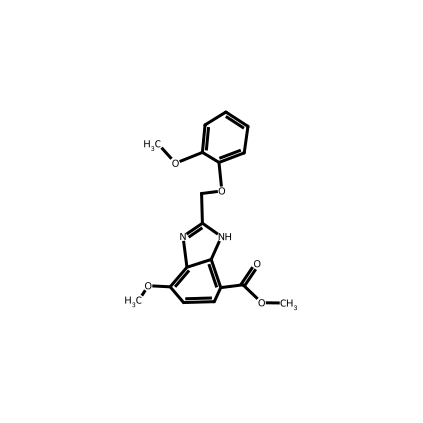 COC(=O)c1ccc(OC)c2nc(COc3ccccc3OC)[nH]c12